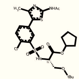 CC(=O)Nc1nc(C)c(-c2ccc(Cl)c(S(=O)(=O)N[C@@H](COC(C)(C)C)C(=O)OC3CCCC3)c2)s1